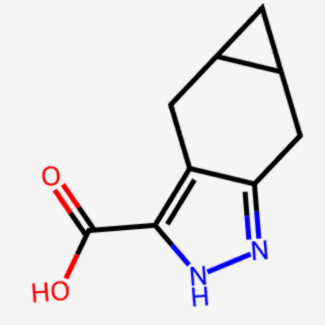 O=C(O)c1[nH]nc2c1CC1CC1C2